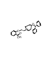 O=C(O)c1ccccc1CCCCN1CCC(OC(c2ccccc2)c2ccccc2)CC1